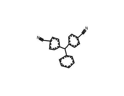 N#Cc1ccc(C(c2ccccc2)c2ccc(C#N)cc2)cc1